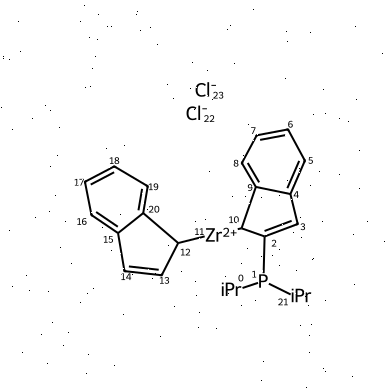 CC(C)P(C1=Cc2ccccc2[CH]1[Zr+2][CH]1C=Cc2ccccc21)C(C)C.[Cl-].[Cl-]